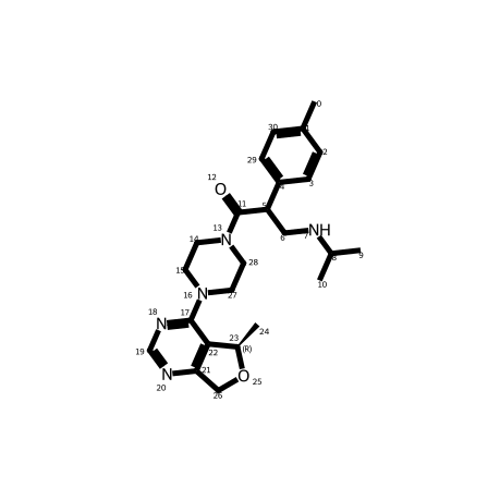 Cc1ccc(C(CNC(C)C)C(=O)N2CCN(c3ncnc4c3[C@@H](C)OC4)CC2)cc1